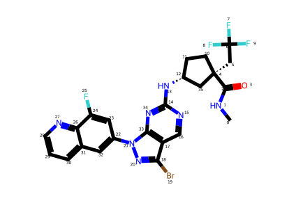 CNC(=O)[C@]1(CC(F)(F)F)CC[C@@H](Nc2ncc3c(Br)nn(-c4cc(F)c5ncccc5c4)c3n2)C1